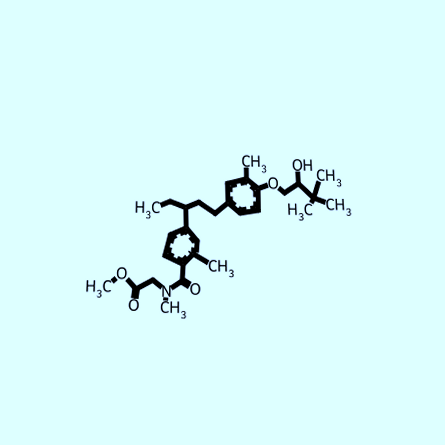 CCC(CCc1ccc(OCC(O)C(C)(C)C)c(C)c1)c1ccc(C(=O)N(C)CC(=O)OC)c(C)c1